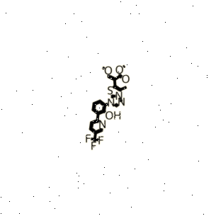 CO/C=C(\C(=O)OC)C1=C(C)N2N=CN(c3cccc(-c4ccc(C(F)(F)F)cn4)c3O)C2S1